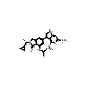 CC(=O)Nc1nc(OC(C)C)c2c(-c3cc4c(c(OC(F)F)c3)C(=O)N([C@@H](C)C3CC3)C4)c[nH]c2n1